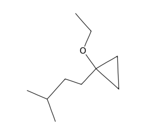 CCOC1(CCC(C)C)CC1